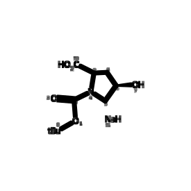 CC(C)(C)OC(=O)N1C[C@H](O)CC1C(=O)O.[NaH]